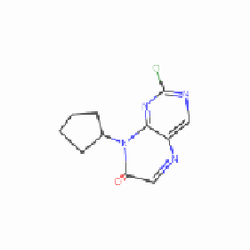 O=c1cnc2cnc(Cl)nc2n1C1CCCC1